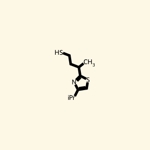 CC(C)c1csc(C(C)CCS)n1